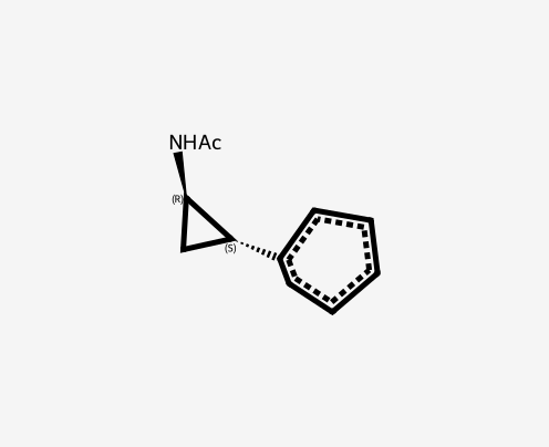 CC(=O)N[C@@H]1C[C@H]1c1ccccc1